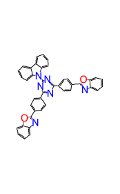 c1ccc2oc(-c3ccc(-c4nc(-c5ccc(-c6nc7ccccc7o6)cc5)nc(-n5c6ccccc6c6ccccc65)n4)cc3)nc2c1